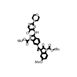 COc1ccc2c(c1)[C@]1(C[C@H]1c1ccc3c(Nc4nc(N5CCOCC5)ncc4Cl)nn(C(=O)OC(C)(C)C)c3c1)C(=O)N2C(=O)OC(C)(C)C